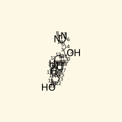 CC(O)(CCc1cncnc1)[C@H]1CC[C@H]2[C@@H]3CCC4C[C@@H](O)CC[C@]4(C)[C@H]3CC[C@]12C